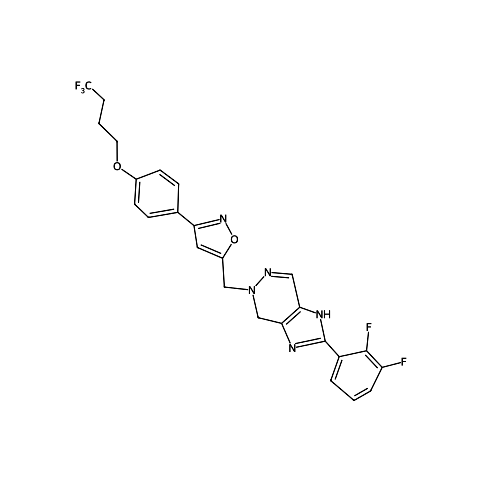 Fc1cccc(-c2nc3c([nH]2)C=NN(Cc2cc(-c4ccc(OCCCC(F)(F)F)cc4)no2)C3)c1F